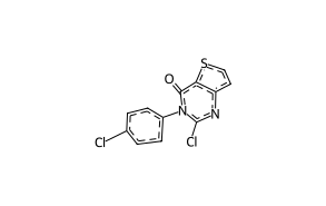 O=c1c2sccc2nc(Cl)n1-c1ccc(Cl)cc1